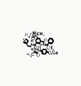 COc1ccc(NC(=O)[C@H](C)NC[C@H](Cc2ccsc2)NC(=O)c2cc(C(=O)N[C@H](C)c3ccccc3)cc(N(C)S(C)(=O)=O)c2)cc1